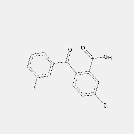 Cc1cccc(C(=O)c2ccc(Cl)cc2C(=O)O)c1